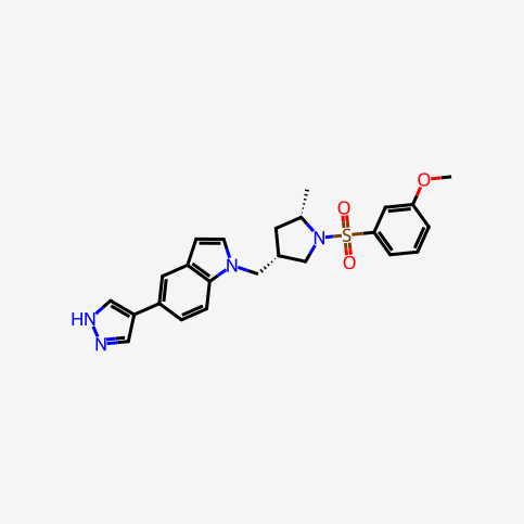 COc1cccc(S(=O)(=O)N2C[C@H](Cn3ccc4cc(-c5cn[nH]c5)ccc43)C[C@@H]2C)c1